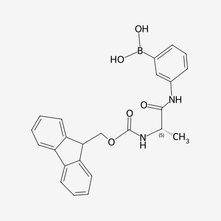 C[C@H](NC(=O)OCC1c2ccccc2-c2ccccc21)C(=O)Nc1cccc(B(O)O)c1